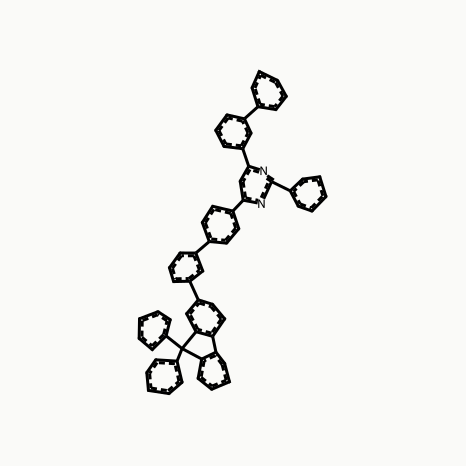 c1ccc(-c2cccc(-c3cc(-c4ccc(-c5cccc(-c6ccc7c(c6)C(c6ccccc6)(c6ccccc6)c6ccccc6-7)c5)cc4)nc(-c4ccccc4)n3)c2)cc1